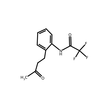 CC(=O)CCc1ccccc1NC(=O)C(F)(F)F